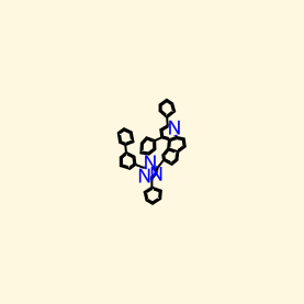 c1ccc(-c2cccc(-c3nc(-c4ccccc4)nc(-c4ccc5ccc6nc(-c7ccccc7)cc(-c7ccccc7)c6c5c4)n3)c2)cc1